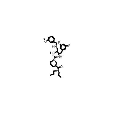 CCCN(CCC)C(=O)C1CCCN(C(=O)NC(Cc2cc(F)cc(F)c2)C(O)CNCc2cccc(OC)c2)C1